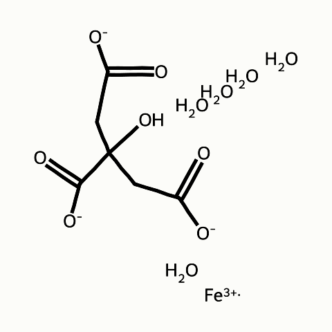 O.O.O.O.O.O=C([O-])CC(O)(CC(=O)[O-])C(=O)[O-].[Fe+3]